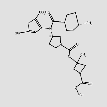 CC(C)(C)OC(=O)N1CC(C)(OC(=O)N2CC[C@H](N(c3cc(C(C)(C)C)sc3C(=O)O)C(=O)[C@H]3CC[C@H](C)CC3)C2)C1